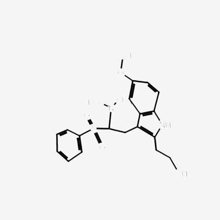 CCCc1[nH]c2ccc(OC)cc2c1CC(N(C)C)S(=O)(=O)c1ccccc1